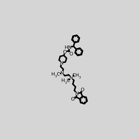 CN(CCN1CCC(OC(=O)NC(c2ccccc2)c2ccccc2)CC1)CC[N+](C)(C)CCCCN1C(=O)c2ccccc2C1=O